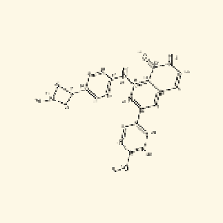 COc1ncc(-c2cc3cc[nH]c(=O)c3c(Nc3ccc(C4CN(C)C4)cc3)n2)cn1